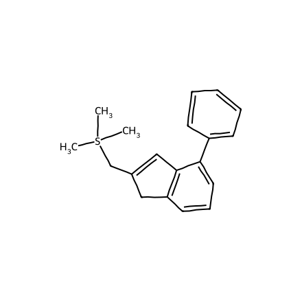 CS(C)(C)CC1=Cc2c(cccc2-c2ccccc2)C1